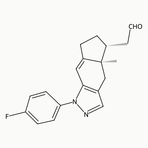 C[C@]12Cc3cnn(-c4ccc(F)cc4)c3C=C1CC[C@@H]2CC=O